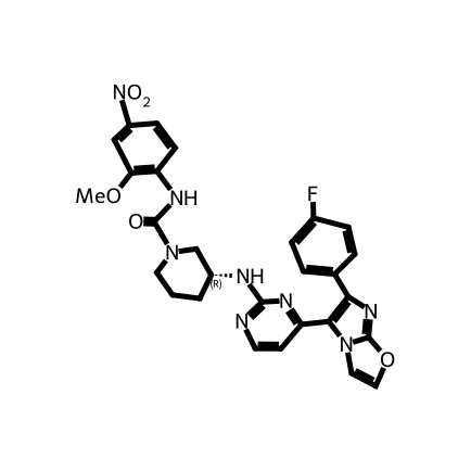 COc1cc([N+](=O)[O-])ccc1NC(=O)N1CCC[C@@H](Nc2nccc(-c3c(-c4ccc(F)cc4)nc4occn34)n2)C1